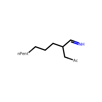 CCCCCCCCC(C=N)CC(C)=O